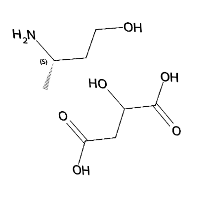 C[C@H](N)CCO.O=C(O)CC(O)C(=O)O